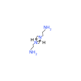 NCCCN1C[C@H]2C[C@@H]1CN2CCCN